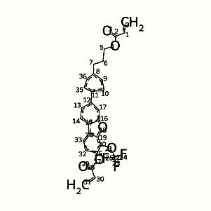 C=CC(=O)OCCCc1ccc(-c2ccc3c(c2)oc2c(OC(F)(F)F)c(OC(=O)C=C)ccc23)cc1